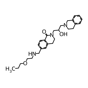 CCCOCCNCc1ccc2c(c1)CCN(CC(O)CN1CCc3ccccc3C1)C2=O